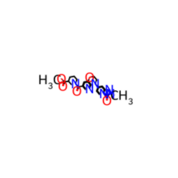 COC(=O)C1CCCN(C(=O)c2cnc3c(c2)OCCN3c2ccn3c(=O)n(C)nc3c2)C1